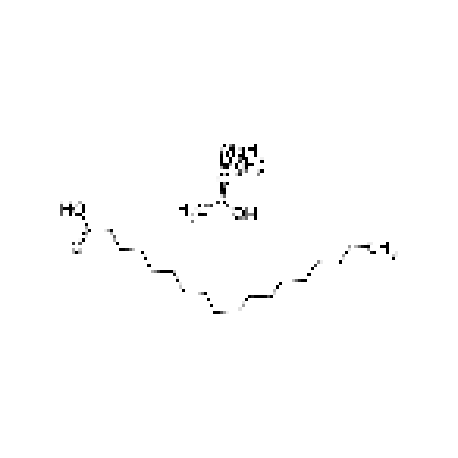 CC(=O)O.CCCCCCCC/C=C\CCCCCCCC(=O)O.[MgH2].[MgH2]